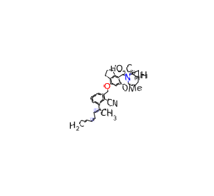 C=C/C=C\C=C(/C)c1cccc(COc2cc(OC)c(CN3CCC[C@@H]4C[C@@]43C(=O)O)c3c2CCC3)c1C#N